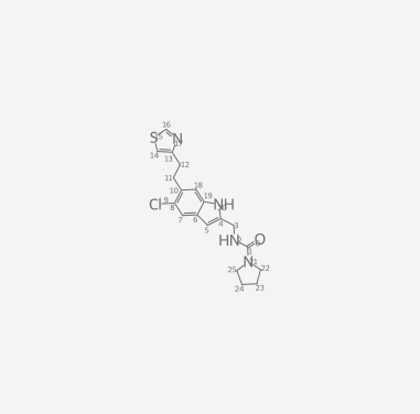 O=C(NCc1cc2cc(Cl)c(CCc3cscn3)cc2[nH]1)N1CCCC1